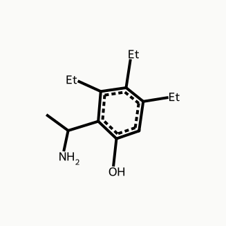 CCc1cc(O)c(C(C)N)c(CC)c1CC